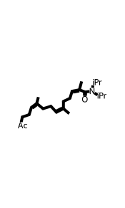 CC(=O)CCC=C(C)CCC=C(C)CCC=C(C)C(=O)N(C(C)C)C(C)C